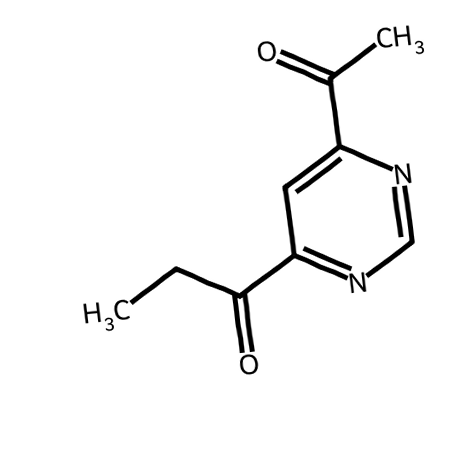 CCC(=O)c1cc(C(C)=O)ncn1